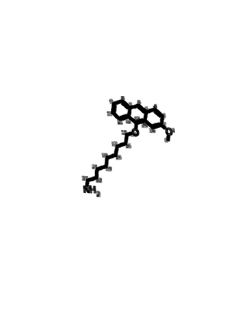 COc1ccc2cc3ccccc3c(OCCCCCCCCCN)c2c1